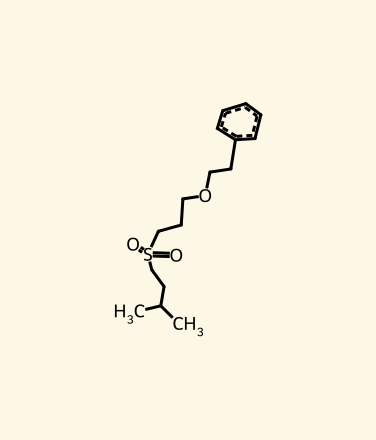 CC(C)CCS(=O)(=O)CCCOCCc1ccccc1